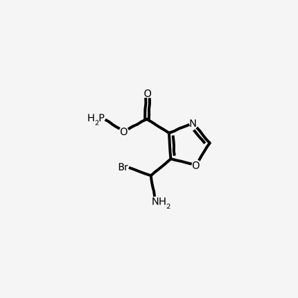 NC(Br)c1ocnc1C(=O)OP